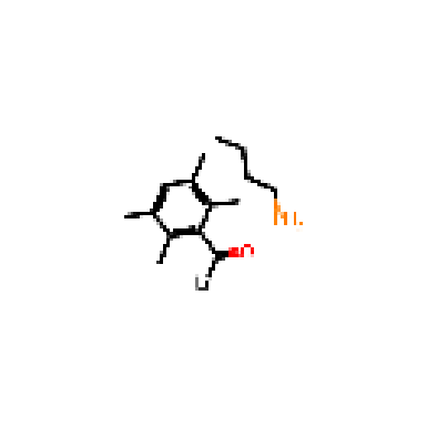 CCCCP.[Li][C](=O)c1c(C)c(C)cc(C)c1C